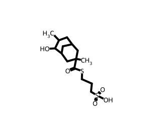 CC1CC2CC(CC(C)(C(=O)SCCCS(=O)(=O)O)C2)C1O